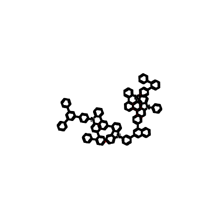 c1ccc(-c2cc(-c3ccccc3)cc(-c3ccc(N(c4ccc(-c5ccccc5-c5ccccc5)cc4)c4ccccc4-c4cccc(-c5cccc6c5c5ccccc5n6-c5cccc(-c6cc(-c7ccc(-c8ccc(N(c9ccc(-c%10ccccc%10-c%10ccccc%10)cc9)c9ccccc9-c9cccc(-c%10cccc%11c%10c%10ccccc%10n%11-c%10ccccc%10)c9)cc8)cc7)c7ccccc7c6)c5)c4)cc3)c2)cc1